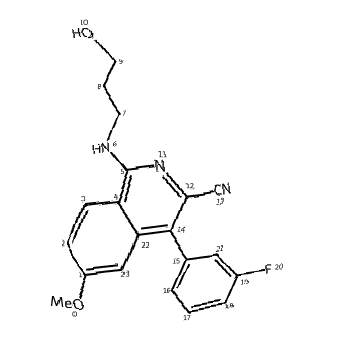 COc1ccc2c(NCCCO)nc(C#N)c(-c3cccc(F)c3)c2c1